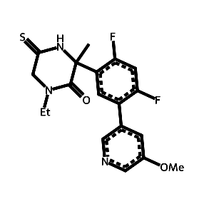 CCN1CC(=S)NC(C)(c2cc(-c3cncc(OC)c3)c(F)cc2F)C1=O